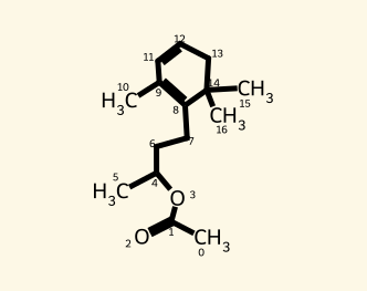 CC(=O)OC(C)CCC1=C(C)C=CCC1(C)C